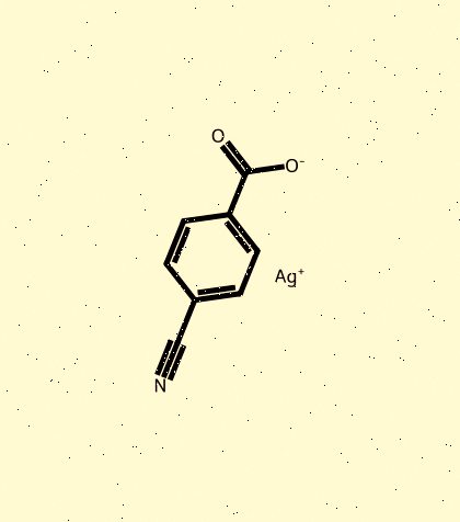 N#Cc1ccc(C(=O)[O-])cc1.[Ag+]